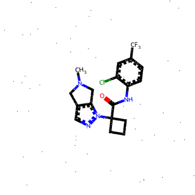 CN1Cc2cnn(C3(C(=O)Nc4ccc(C(F)(F)F)cc4Cl)CCC3)c2C1